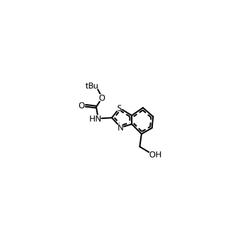 CC(C)(C)OC(=O)Nc1nc2c(CO)cccc2s1